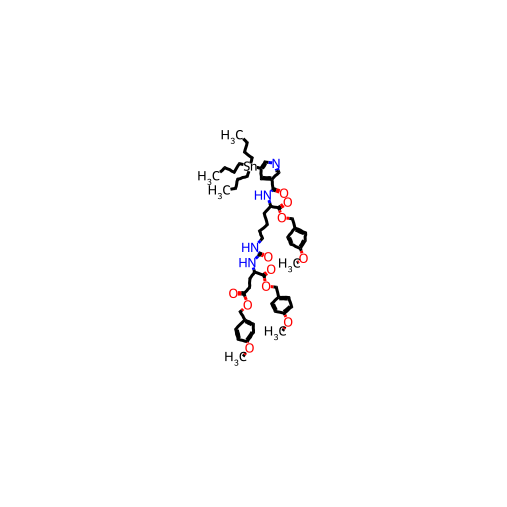 CCC[CH2][Sn]([CH2]CCC)([CH2]CCC)[c]1cncc(C(=O)NC(CCCCNC(=O)NC(CCC(=O)OCc2ccc(OC)cc2)C(=O)OCc2ccc(OC)cc2)C(=O)OCc2ccc(OC)cc2)c1